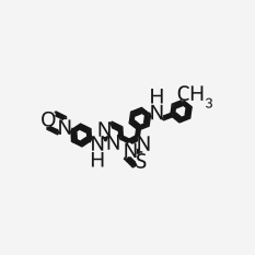 Cc1cccc(CNc2cccc(-c3nc4sccn4c3-c3ccnc(Nc4ccc(N5CCOCC5)cc4)n3)c2)c1